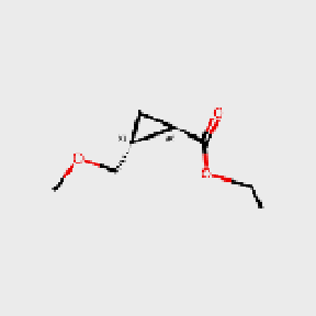 CCOC(=O)[C@@H]1C[C@H]1COC